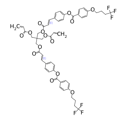 C=CC(=O)OCC(COC(=O)C=C)(COC(=O)/C=C/c1ccc(OC(=O)c2ccc(OCCCC(F)(F)F)cc2)cc1)COC(=O)/C=C/c1ccc(OC(=O)c2ccc(OCCCC(F)(F)F)cc2)cc1